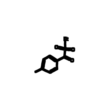 CCS(=O)(=O)C(=O)c1ccc(C)cc1